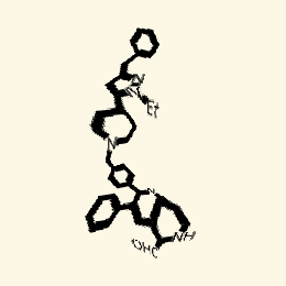 CCn1nc(Cc2ccccc2)cc1C1CCN(Cc2ccc(-c3nc4c(cc3-c3ccccc3)C(C=O)NC=C4)cc2)CC1